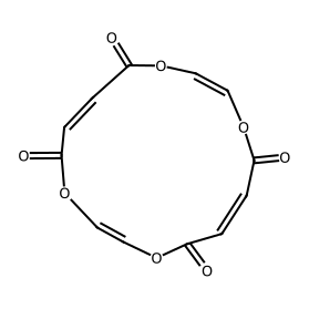 O=C1/C=C\C(=O)O/C=C\OC(=O)/C=C\C(=O)O/C=C\O1